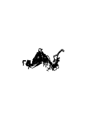 Nc1c(C(=O)c2ccc(F)cc2F)ccc(=O)n1-c1c(F)cc(OCC[C@@H](N)C(=O)OC(=O)C(F)(F)F)cc1F